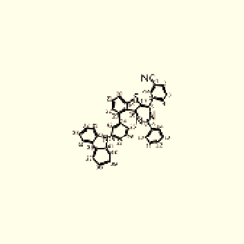 N#Cc1cccc(-c2nc(-c3ccccc3)nc3c2sc2cccc(-c4cccc(-n5c6ccccc6c6ccccc65)c4)c23)c1